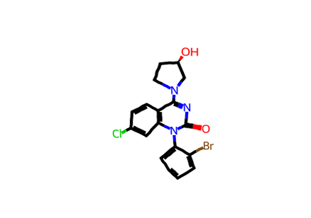 O=c1nc(N2CC[C@@H](O)C2)c2ccc(Cl)cc2n1-c1ccccc1Br